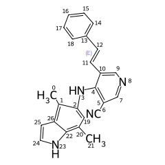 Cc1c(Nc2c(C#N)cncc2/C=C/c2ccccc2)cc(C)c2[nH]ccc12